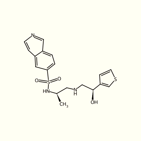 C[C@H](CNC[C@H](O)c1ccsc1)NS(=O)(=O)c1ccc2cnccc2c1